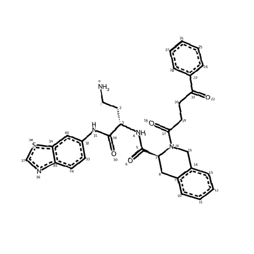 NCC[C@H](NC(=O)[C@@H]1Cc2ccccc2CN1C(=O)CCC(=O)c1ccccc1)C(=O)Nc1ccc2ncsc2c1